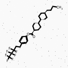 CCCC[C@H]1CC[C@H]([C@H]2CC[C@H](C(=O)Oc3ccc(CCC(F)(F)C(F)(F)C(F)(F)F)cc3)CC2)CC1